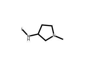 CN1CCC(NI)C1